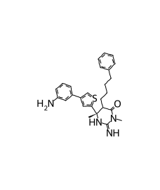 CN1C(=N)N[C@](C)(c2cc(-c3cccc(N)c3)cs2)C(CCCCc2ccccc2)C1=O